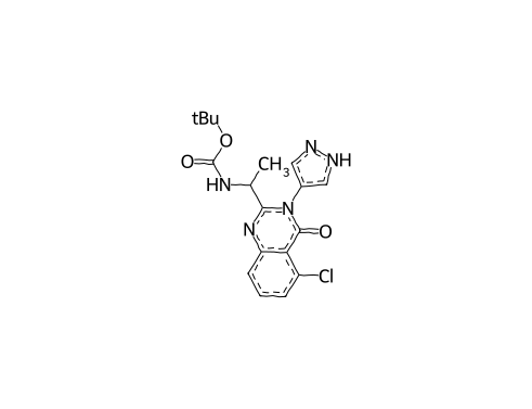 CC(NC(=O)OC(C)(C)C)c1nc2cccc(Cl)c2c(=O)n1-c1cn[nH]c1